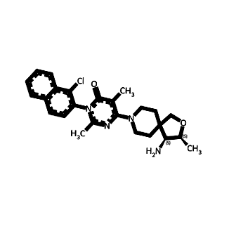 Cc1c(N2CCC3(CC2)CO[C@@H](C)[C@H]3N)nc(C)n(-c2ccc3ccccc3c2Cl)c1=O